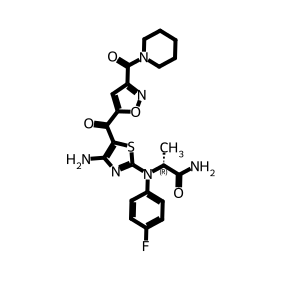 C[C@H](C(N)=O)N(c1ccc(F)cc1)c1nc(N)c(C(=O)c2cc(C(=O)N3CCCCC3)no2)s1